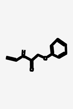 C=CNC(=O)COc1ccccc1